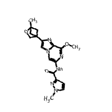 COc1nc(NC(=O)c2ccn(C)n2)cn2cc(C34COC(C)(C3)C4)nc12